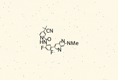 CNc1cc2ncc(-c3cc(NC(=O)c4cc(C(C)(C)C#N)ccn4)c(F)cc3F)cc2cn1